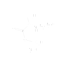 O=C(O)OC(=O)OC(=O)O.[NaH].[NaH].[NaH].[NaH]